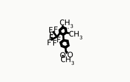 COC(=O)c1ccc(-c2c(C)[c]c(C)cc2C(F)(C(F)(F)F)C(F)(F)F)cc1